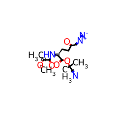 CO[C@@H](C)C(=O)N[C@@H](CCC(=O)C=[N+]=[N-])C(=O)OC(C)(C)C#N